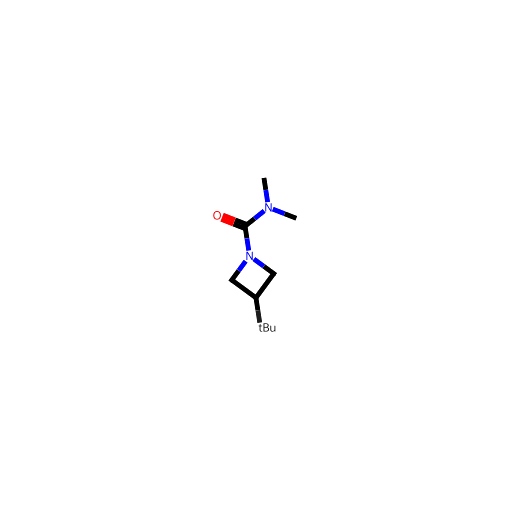 CN(C)C(=O)N1CC(C(C)(C)C)C1